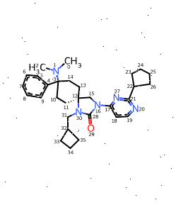 CN(C)[C@]1(c2ccccc2)CC[C@]2(CC1)CN(c1ccnc(C3CCCC3)n1)C(=O)N2CC1CCC1